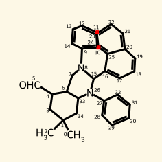 CC1(C)CC(C=O)C2CN(c3ccccc3)C(c3cccc4ccccc34)N(c3ccccc3)C2C1